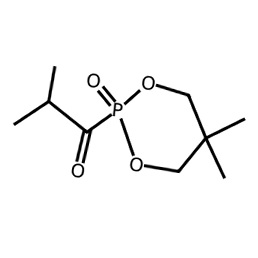 CC(C)C(=O)P1(=O)OCC(C)(C)CO1